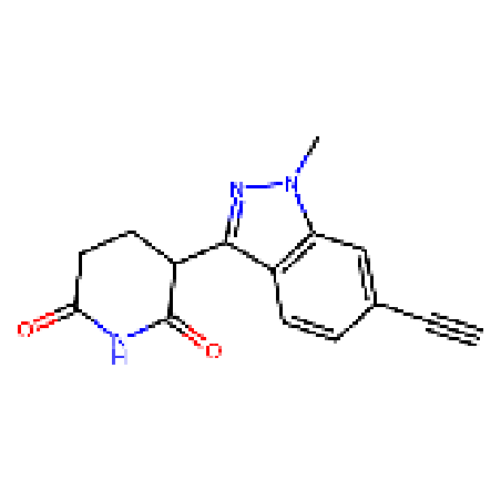 C#Cc1ccc2c(C3CCC(=O)NC3=O)nn(C)c2c1